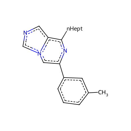 CCCCCCCc1nc(-c2cccc(C)c2)cn2cncc12